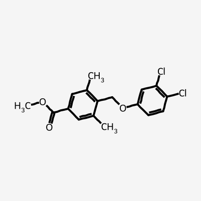 COC(=O)c1cc(C)c(COc2ccc(Cl)c(Cl)c2)c(C)c1